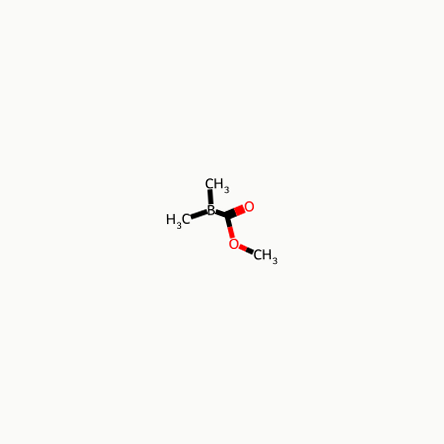 COC(=O)B(C)C